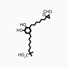 CC(C)(CCCCCCc1cc(O)c(O)c(CCCCCCC2(OC=O)CC2)c1)C(=O)O